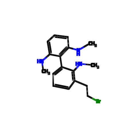 CNc1cccc(NC)c1-c1cccc(CCBr)c1NC